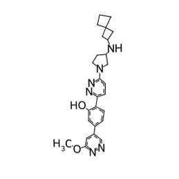 COc1cc(-c2ccc(-c3ccc(N4CCC(NC5CC6(CCC6)C5)C4)nn3)c(O)c2)cnn1